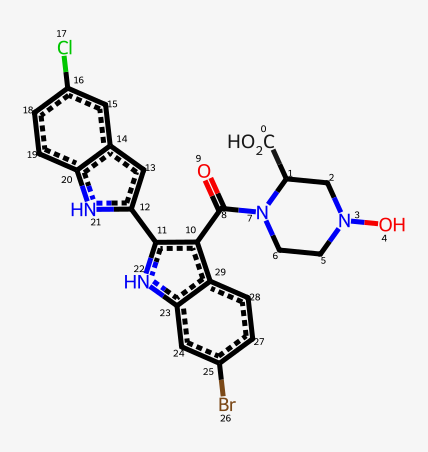 O=C(O)C1CN(O)CCN1C(=O)c1c(-c2cc3cc(Cl)ccc3[nH]2)[nH]c2cc(Br)ccc12